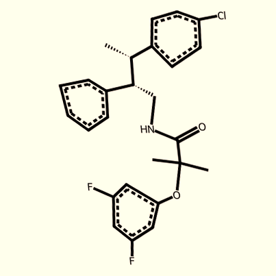 C[C@H](c1ccc(Cl)cc1)[C@H](CNC(=O)C(C)(C)Oc1cc(F)cc(F)c1)c1ccccc1